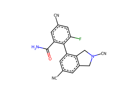 N#Cc1cc(F)c(-c2cc(C#N)cc3c2CN(C#N)C3)c(C(N)=O)c1